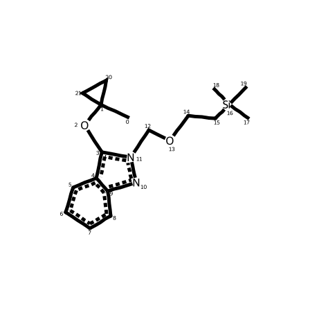 CC1(Oc2c3ccccc3nn2COCC[Si](C)(C)C)CC1